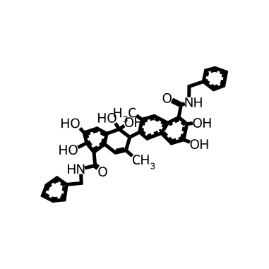 CC1=Cc2c(cc(O)c(O)c2C(=O)NCc2ccccc2)C(O)(O)C1c1cc2cc(O)c(O)c(C(=O)NCc3ccccc3)c2cc1C